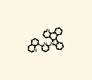 c1cc(-c2cccc3cccnc23)nc(-n2c3ccccc3c3c4ccccc4c4ncccc4c32)c1